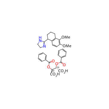 COc1ccc2c(c1OC)CCCC2C1=NCCN1.O=C(O[C@H](C(=O)O)[C@H](OC(=O)c1ccccc1)C(=O)O)c1ccccc1